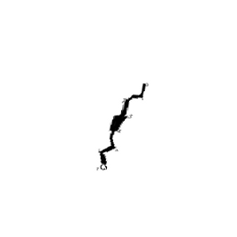 CCCC#CCC=O